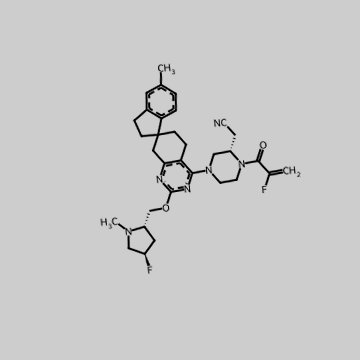 C=C(F)C(=O)N1CCN(c2nc(OC[C@@H]3C[C@@H](F)CN3C)nc3c2CCC2(CCc4cc(C)ccc42)C3)C[C@@H]1CC#N